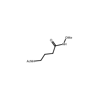 CONC(=O)CCCNC(C)=O